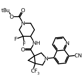 CC(C)(C)OC(=O)N1CCC(NC(=O)C23CN(c4ccc(C#N)c5ncccc45)CC2(C(F)(F)F)C3)C(F)(F)C1